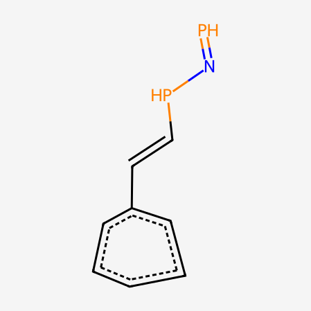 P=NPC=Cc1ccccc1